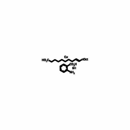 CCCCCCCCC=CCCCCCCCC(=O)O.Nc1ccccc1C(=O)O.[Cu].[KH]